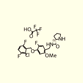 COc1cc(OCc2c(F)ccc(F)c2Cl)c(F)cc1CNC(=O)[C@@H]1CCCN1.O=C(O)C(F)(F)F